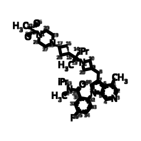 Cc1cncc2c1c(CC1CN([C@@](C)(C(C)C)[C@H]3C[C@@H](N4CCN(S(C)(=O)=O)CC4)C3)C1)cn2-c1ccc(F)cc1C(=O)N(C)C(C)C